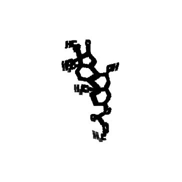 C#C[C@]1(O)C(=O)CC2C3C(CC[C@@]21C)[C@@]1(C)CC[C@H](OC(=O)OC)CC1=C[C@H]3O